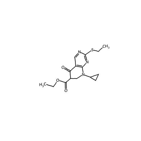 CCOC(=O)C1CN(C2CC2)c2nc(SCC)ncc2C1=O